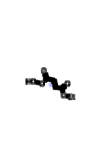 CCOC(=O)/C=C/C(=O)OO